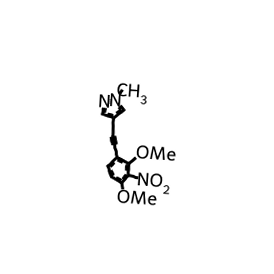 COc1ccc(C#Cc2cnn(C)c2)c(OC)c1[N+](=O)[O-]